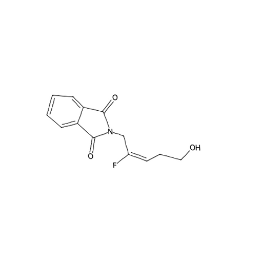 O=C1c2ccccc2C(=O)N1C/C(F)=C\CCO